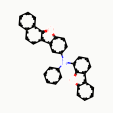 c1ccc(N(c2ccc3oc4c5ccccc5ccc4c3c2)c2cccc3c2oc2ccccc23)cc1